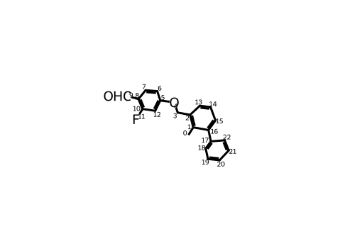 Cc1c(COc2ccc(C=O)c(F)c2)cccc1-c1ccccc1